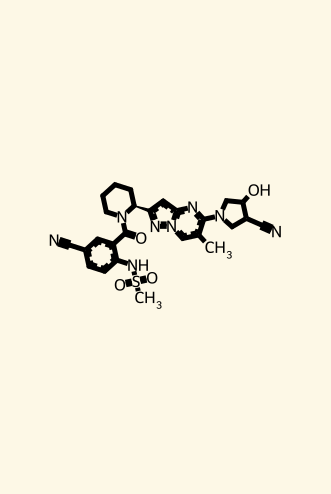 Cc1cn2nc([C@@H]3CCCCN3C(=O)c3cc(C#N)ccc3NS(C)(=O)=O)cc2nc1N1CC(O)C(C#N)C1